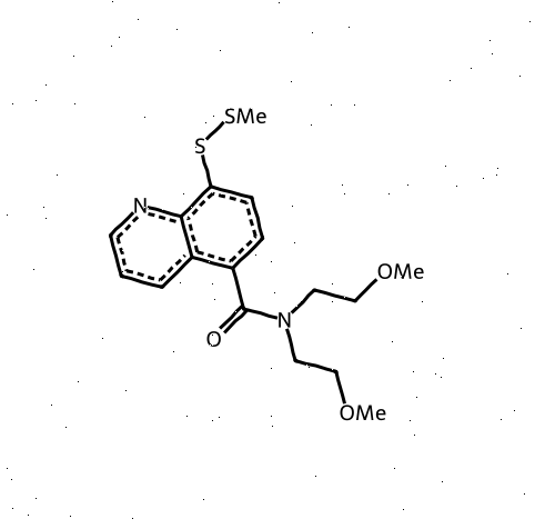 COCCN(CCOC)C(=O)c1ccc(SSC)c2ncccc12